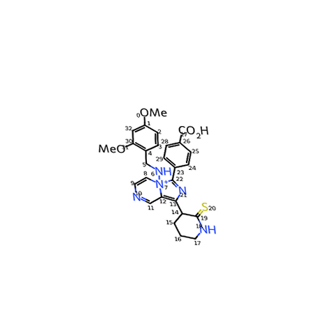 COc1ccc(CN[N+]23C=CN=CC2=C(C2CCCNC2=S)N=C3c2ccc(C(=O)O)cc2)c(OC)c1